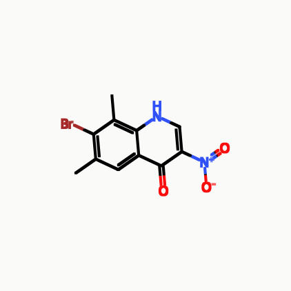 Cc1cc2c(=O)c([N+](=O)[O-])c[nH]c2c(C)c1Br